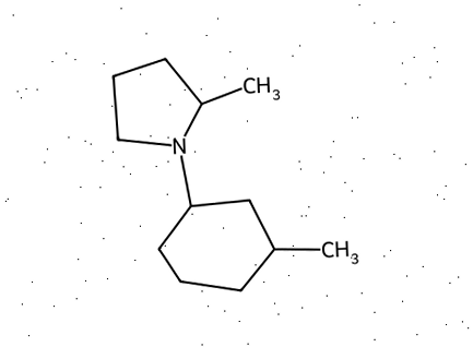 CC1CCCC(N2CCCC2C)C1